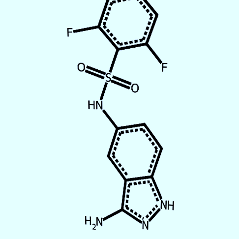 Nc1n[nH]c2ccc(NS(=O)(=O)c3c(F)cccc3F)cc12